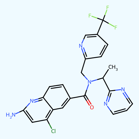 CC(c1ncccn1)N(Cc1ccc(C(F)(F)F)cn1)C(=O)c1ccc2nc(N)cc(Cl)c2c1